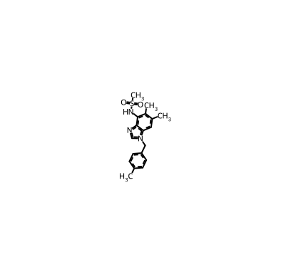 Cc1ccc(Cn2cnc3c(NS(C)(=O)=O)c(C)c(C)cc32)cc1